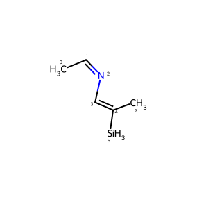 C/C=N\C=C(/C)[SiH3]